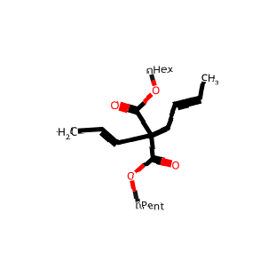 [CH2]C=CC(CC=CC)(C(=O)OCCCCC)C(=O)OCCCCCC